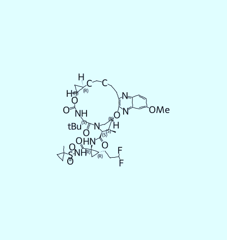 COc1ccc2nc3c(nc2c1)O[C@H]1CN(C(=O)[C@H](C(C)(C)C)NC(=O)O[C@@H]2C[C@H]2CCCCC3)[C@H](C(=O)N[C@]2(C(=O)NS(=O)(=O)C3(C)CC3)C[C@H]2CCC(F)F)[C@@H]1C